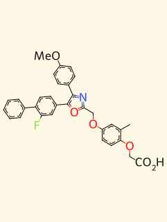 COc1ccc(-c2nc(COc3ccc(OCC(=O)O)c(C)c3)oc2-c2ccc(-c3ccccc3)c(F)c2)cc1